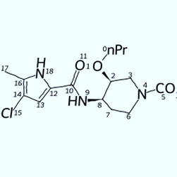 CCCO[C@H]1CN(C(=O)O)CC[C@H]1NC(=O)c1cc(Cl)c(C)[nH]1